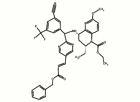 CCOC(=O)N1c2ccc(OC)nc2[C@@H](NC(c2cc(C#N)cc(C(F)(F)F)c2)c2ncc(C=CC(=O)OCc3ccccc3)cn2)C[C@H]1CC